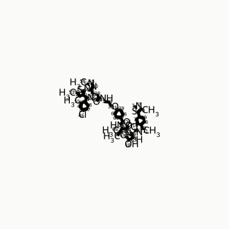 Cc1ncsc1-c1ccc([C@H](C)NC(=O)[C@@H]2C[C@@H](O)CN2C(=O)[C@@H](NC(=O)c2ccc(OCCCNC(=O)C[C@@H]3N=C(c4ccc(Cl)cc4)c4c(sc(C)c4C)-n4c(C)nnc43)cc2)C(C)(C)C)cc1